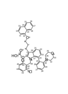 O=C(O)Oc1c(CCCOc2cccc3ccccc23)c2cccc(-c3ccccc3N3CCOCC3)c2n1Cc1c(Cl)cccc1Cl